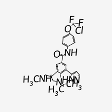 CNCC1CN(C(C)C)c2c(-c3ccn[nH]3)cc(C(=O)Nc3ccc(OC(F)(F)Cl)cc3)cc21